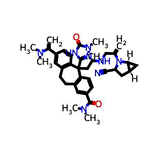 C=C(c1ccc2c(c1)CCc1cc(C(=O)N(C)C)ccc1C2(C[C@H](C)NCC(=C)N1C(C#N)C[C@@H]2C[C@@H]21)c1nn(C)c(=O)[nH]1)N(C)C